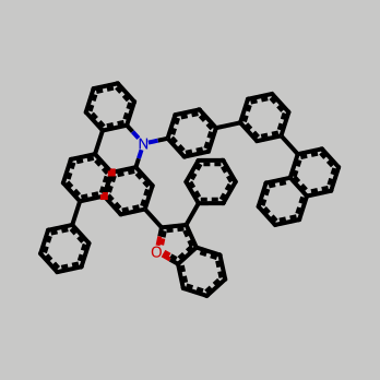 c1ccc(-c2ccc(-c3ccccc3N(c3ccc(-c4cccc(-c5cccc6ccccc56)c4)cc3)c3cccc(-c4oc5ccccc5c4-c4ccccc4)c3)cc2)cc1